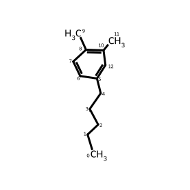 CCC[CH]Cc1ccc(C)c(C)c1